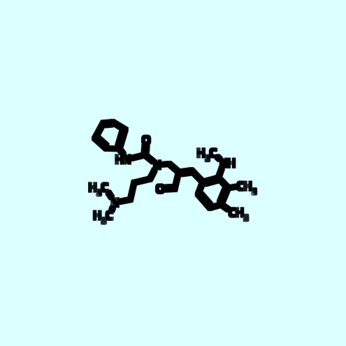 CNc1c(/C=C(\C=O)CN(CCCN(C)C)C(=O)Nc2ccccc2)ccc(C)c1C